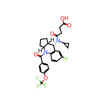 O=C(O)CCC(=O)N(C1CC1)[C@@H]1c2cc(F)ccc2N(C(=O)c2ccc(OC(F)(F)F)cc2)[C@@H]2CCC[C@@H]21